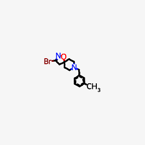 Cc1cccc(CN2CCC3(CC2)CC(Br)=NO3)c1